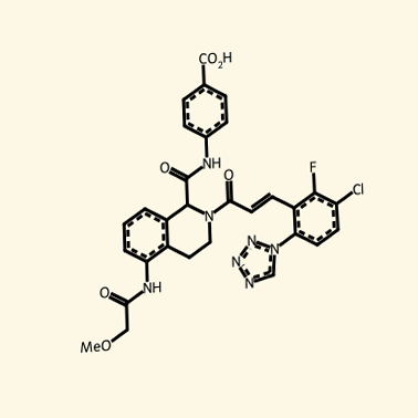 COCC(=O)Nc1cccc2c1CCN(C(=O)/C=C/c1c(-n3cnnn3)ccc(Cl)c1F)C2C(=O)Nc1ccc(C(=O)O)cc1